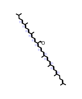 CC(C)=CCC/C(C)=C/C=C/C(C)=C/C=C/C(C)=C/C=C/C=C(C=O)/C=C/C=C(C)/C=C/C=C(C)/C=C/CC(C)C